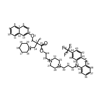 CC(COc1ccc2ccccc2c1)(CN1CCCCC1)C(=O)OCCN1CCN(CCCN2c3ccccc3Sc3ccc(C(F)(F)F)cc32)CC1